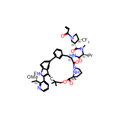 C=CC(=O)N1C[C@@H](C(=O)N(C)[C@H](C(=O)N[C@H]2Cc3cccc(c3)-c3ccc4c(c3)c(c(-c3cccnc3[C@H](C)OC)n4CC)CC(C)(C)COC(=O)[C@@]3(C)CCCN(N3)C2=O)C(C)C)[C@@H](C(F)(F)F)C1